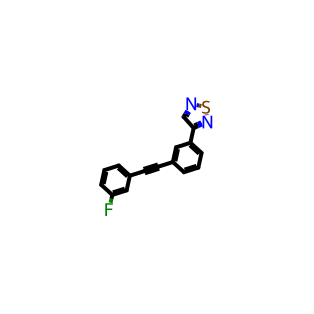 Fc1cccc(C#Cc2cccc(-c3cnsn3)c2)c1